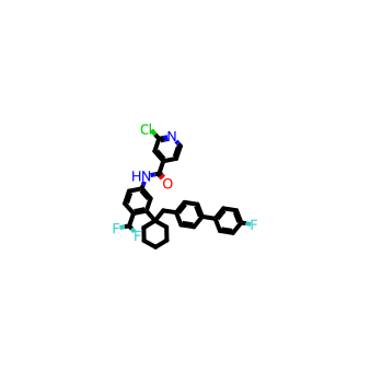 O=C(Nc1ccc(C(F)F)c(C2(Cc3ccc(-c4ccc(F)cc4)cc3)CCCCC2)c1)c1ccnc(Cl)c1